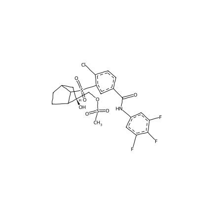 CS(=O)(=O)OC[C@@]1(O)CC2CCC1C2S(=O)(=O)c1cc(C(=O)Nc2cc(F)c(F)c(F)c2)ccc1Cl